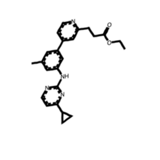 CCOC(=O)CCc1cc(-c2cc(C)cc(Nc3nccc(C4CC4)n3)c2)ccn1